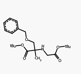 CC(C)(C)OC(=O)CNC(C)(COCc1ccccc1)C(=O)OC(C)(C)C